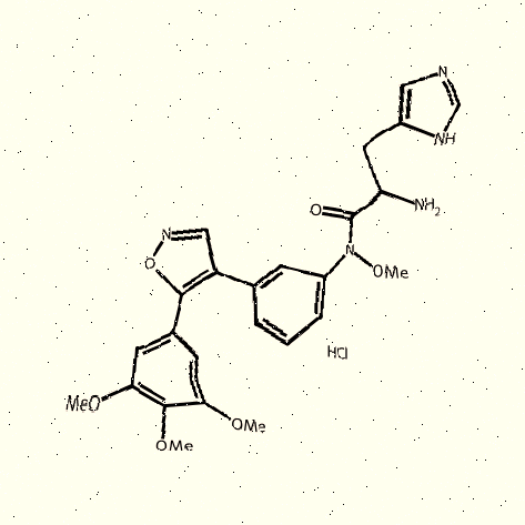 COc1cc(-c2oncc2-c2cccc(N(OC)C(=O)C(N)Cc3cnc[nH]3)c2)cc(OC)c1OC.Cl